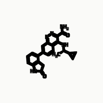 C[C@@H](Nc1c(C(N)=O)nnc2cc(-c3cccc4c3CC(=O)N4)ccc12)C1CC1